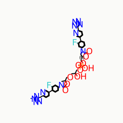 Cn1nnc(-c2ccc(-c3ccc(N4CC(COCC(O)COP(=O)(O)OC[C@H]5CN(c6ccc(-c7ccc(-c8nnn(C)n8)nc7)c(F)c6)C(=O)O5)OC4=O)cc3F)cn2)n1